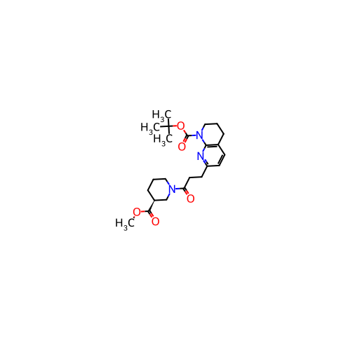 COC(=O)[C@H]1CCCN(C(=O)CCc2ccc3c(n2)N(C(=O)OC(C)(C)C)CCC3)C1